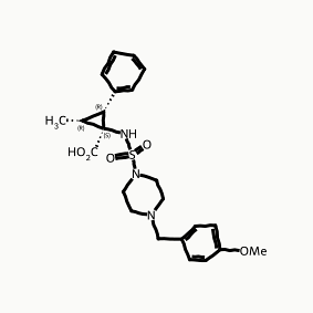 COc1ccc(CN2CCN(S(=O)(=O)N[C@@]3(C(=O)O)[C@H](C)[C@@H]3c3ccccc3)CC2)cc1